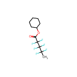 CC(F)(F)C(F)(F)C(F)(F)C(=O)OC1CCCCC1